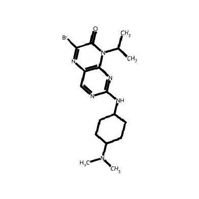 CC(C)n1c(=O)c(Br)nc2cnc(NC3CCC(N(C)C)CC3)nc21